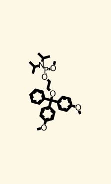 COc1ccc(C(OCCOP(OC)N(C(C)C)C(C)C)(c2ccccc2)c2ccc(OC)cc2)cc1